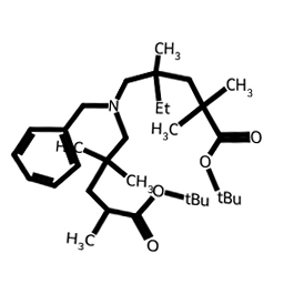 CCC(C)(CN(Cc1ccccc1)CC(C)(C)CC(C)C(=O)OC(C)(C)C)CC(C)(C)C(=O)OC(C)(C)C